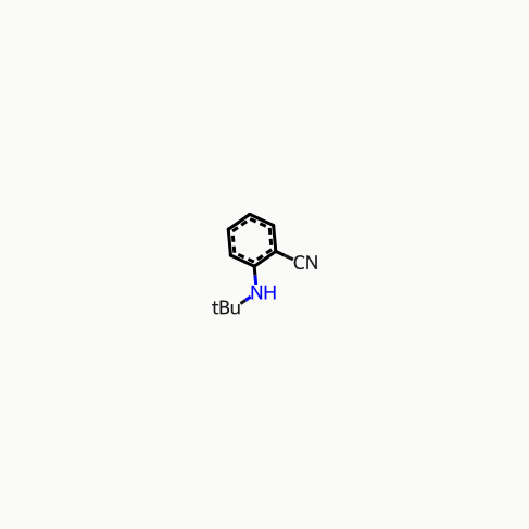 CC(C)(C)Nc1ccccc1C#N